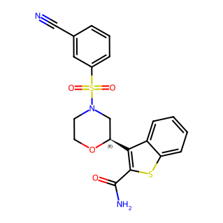 N#Cc1cccc(S(=O)(=O)N2CCO[C@H](c3c(C(N)=O)sc4ccccc34)C2)c1